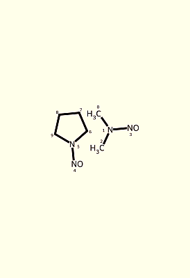 CN(C)N=O.O=NN1CCCC1